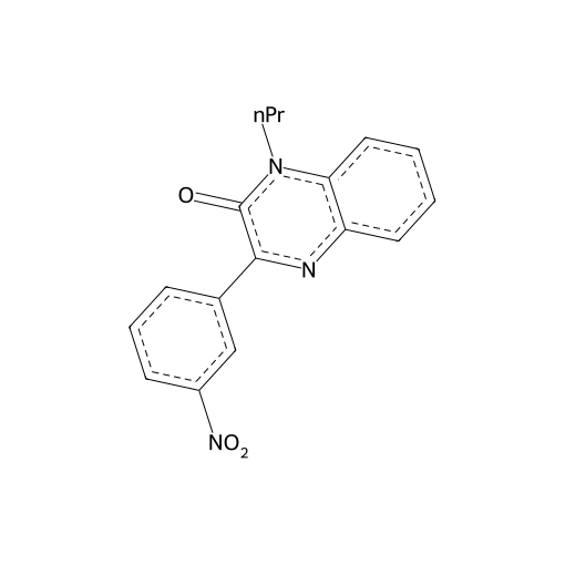 CCCn1c(=O)c(-c2cccc([N+](=O)[O-])c2)nc2ccccc21